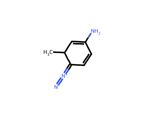 CC1C=C(N)C=CC1=[N+]=[N-]